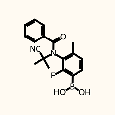 Cc1ccc(B(O)O)c(F)c1N(C(=O)c1ccccc1)C(C)(C)C#N